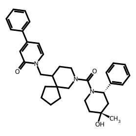 C[C@@]1(O)CCN(C(=O)N2CCC(Cn3ccc(-c4ccccc4)cc3=O)C3(CCCC3)C2)[C@H](c2ccccc2)C1